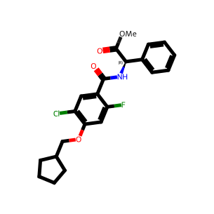 COC(=O)[C@H](NC(=O)c1cc(Cl)c(OCC2CCCC2)cc1F)c1ccccc1